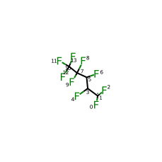 F[C](F)C(F)C(F)C(F)(F)C(F)(F)F